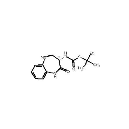 CCC(C)(C)OC(=O)N[C@H]1CNc2ccccc2NC1=O